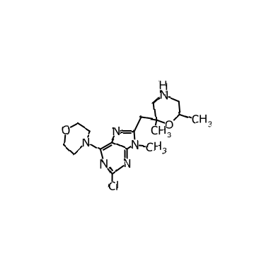 CC1CNCC(C)(Cc2nc3c(N4CCOCC4)nc(Cl)nc3n2C)O1